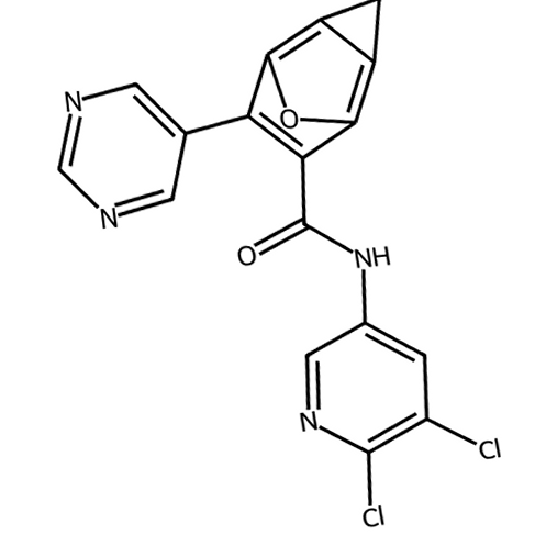 O=C(Nc1cnc(Cl)c(Cl)c1)c1c(-c2cncnc2)c2oc1c1c2C1